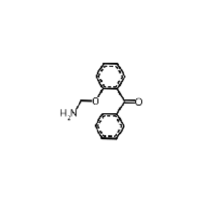 NCOc1ccccc1C(=O)c1ccccc1